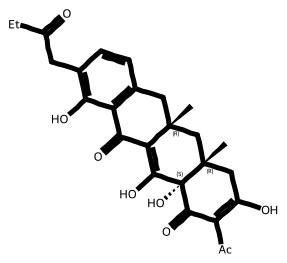 CCC(=O)Cc1ccc2c(c1O)C(=O)C1=C(O)[C@]3(O)C(=O)C(C(C)=O)=C(O)C[C@@]3(C)C[C@@]1(C)C2